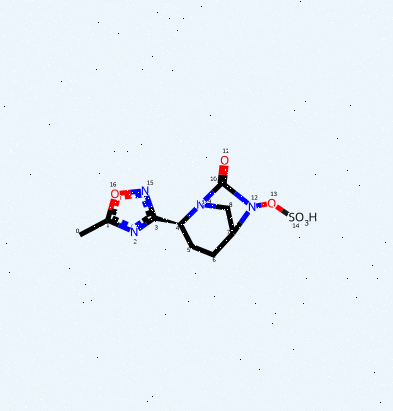 Cc1nc([C@@H]2CCC3CN2C(=O)N3OS(=O)(=O)O)no1